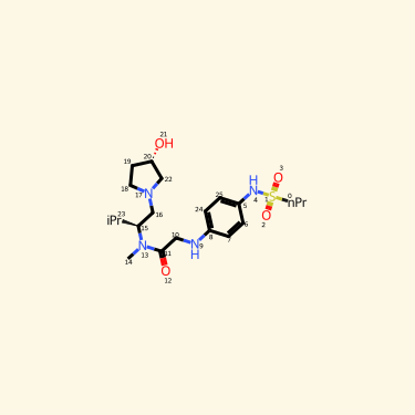 CCCS(=O)(=O)Nc1ccc(NCC(=O)N(C)[C@H](CN2CC[C@H](O)C2)C(C)C)cc1